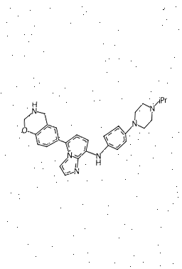 CC(C)N1CCN(c2ccc(Nc3ccc(-c4ccc5c(c4)CNCO5)n4ccnc34)cc2)CC1